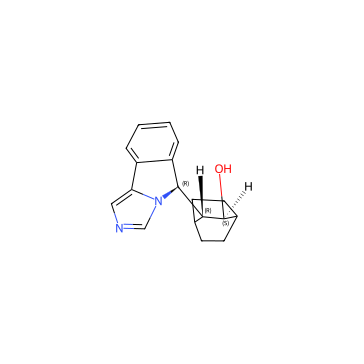 O[C@H]1C2CCC(CC2)[C@@H]1[C@@H]1c2ccccc2-c2cncn21